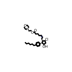 CCCCCCc1ccc([C@@H]2[C@@H](C/C=C\CCCC(=O)OCCN3CCOCC3)[C@H](Cl)C[C@H]2O)cc1